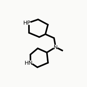 CN(CC1CCPCC1)C1CCNCC1